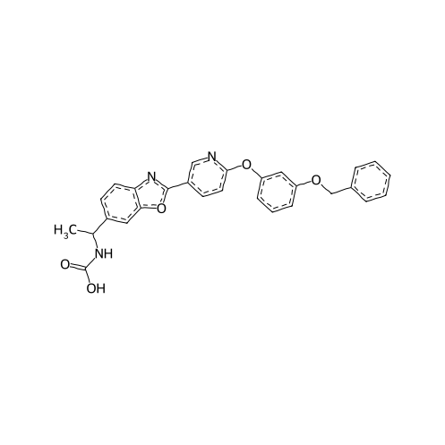 CC(NC(=O)O)c1ccc2nc(-c3ccc(Oc4cccc(OCc5ccccc5)c4)nc3)oc2c1